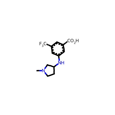 CN1CCC(Nc2cc(C(=O)O)cc(C(F)(F)F)c2)C1